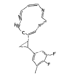 Cc1cc(C2CC2/C2=C/N=C/C=N/C=C\C=N/NC2)cc(F)c1F